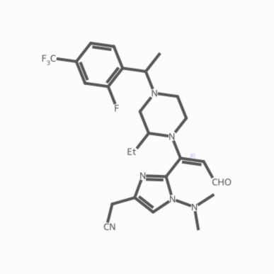 CCC1CN(C(C)c2ccc(C(F)(F)F)cc2F)CCN1/C(=C/C=O)c1nc(CC#N)cn1N(C)C